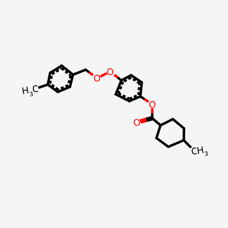 Cc1ccc(COOc2ccc(OC(=O)C3CCC(C)CC3)cc2)cc1